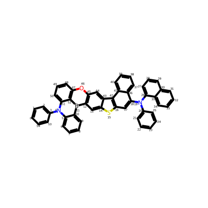 c1ccc(N2c3ccccc3B3c4cc5sc6cc(N(c7ccccc7)c7cccc8ccccc78)c7ccccc7c6c5cc4Oc4cccc2c43)cc1